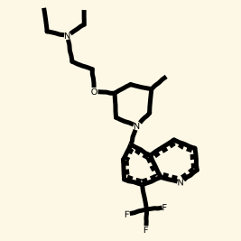 CCN(CC)CCOC1CC(C)CN(c2ccc(C(F)(F)F)c3ncccc23)C1